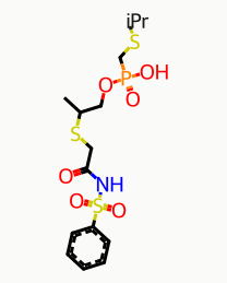 CC(C)SCP(=O)(O)OCC(C)SCC(=O)NS(=O)(=O)c1ccccc1